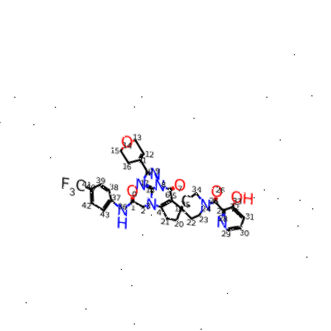 O=C(Cn1c2c(c(=O)n3nc(C4=CCOCC4)nc13)C1(CC2)CCN(C(=O)c2ncccc2O)CC1)Nc1ccc(C(F)(F)F)cc1